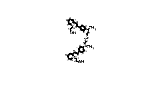 CN(CCSSCCN(C)c1ccc(/C=C/c2cccc[n+]2CCO)cc1)c1ccc(/C=C/c2cccc[n+]2CCO)cc1